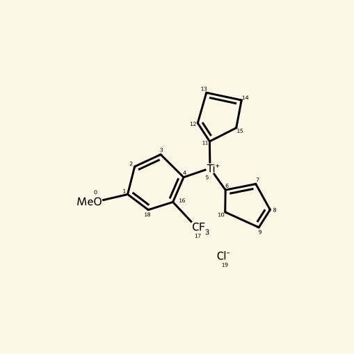 COc1cc[c]([Ti+]([C]2=CC=CC2)[C]2=CC=CC2)c(C(F)(F)F)c1.[Cl-]